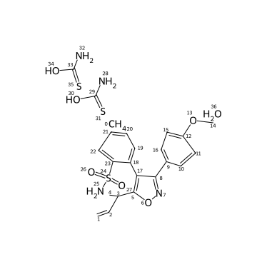 C.C=CC(C)c1onc(-c2ccc(OC)cc2)c1-c1ccccc1S(N)(=O)=O.NC(O)=S.NC(O)=S.O